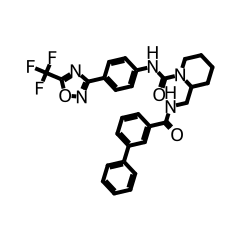 O=C(NCC1CCCCN1C(=O)Nc1ccc(-c2noc(C(F)(F)F)n2)cc1)c1cccc(-c2ccccc2)c1